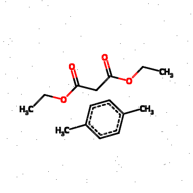 CCOC(=O)CC(=O)OCC.Cc1ccc(C)cc1